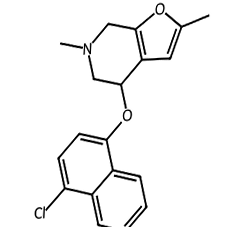 Cc1cc2c(o1)CN(C)CC2Oc1ccc(Cl)c2ccccc12